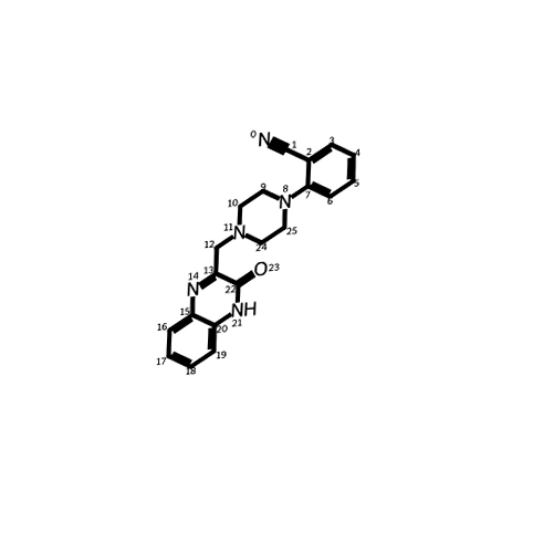 N#Cc1ccccc1N1CCN(Cc2nc3ccccc3[nH]c2=O)CC1